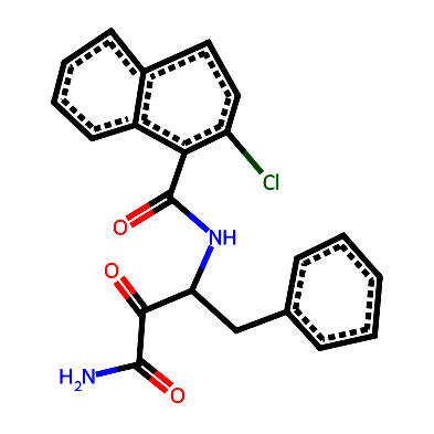 NC(=O)C(=O)C(Cc1ccccc1)NC(=O)c1c(Cl)ccc2ccccc12